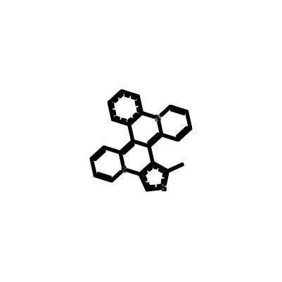 Cc1scc2c1C1=C3C=CC=CN3c3ccccc3C1=C1C=CC=CB12